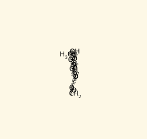 C=CC(=O)OCCCCCCOc1ccc(C(=O)Oc2ccc(C(=O)Oc3ccc(O)c(C)c3)cc2)cc1